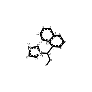 CCC(c1cccc2ccccc12)n1ccnc1